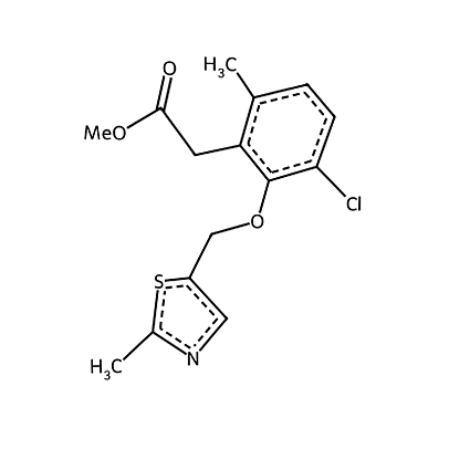 COC(=O)Cc1c(C)ccc(Cl)c1OCc1cnc(C)s1